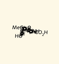 COc1ccc(N2Cc3ccc(NCC(=O)O)cc3C2=O)cc1OC1CCC(O)C1